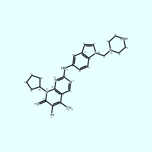 CC(=O)c1c(C)c2cnc(Nc3ccc4c(ccn4CN4CCNCC4)c3)nc2n(C2CCCC2)c1=O